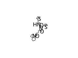 O=C(CN(CCc1cccs1)C(=O)CCCC(=O)N1CCCC2CCCCC21)NCCc1cccs1